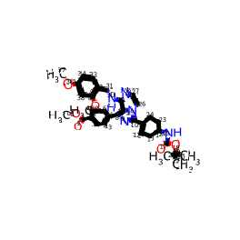 COC(=O)c1ccc(-c2nc(C3=CCC(NC(=O)OC(C)(C)C)CC3)n3ccnc(NCc4ccc(OC)cc4OC)c23)cc1